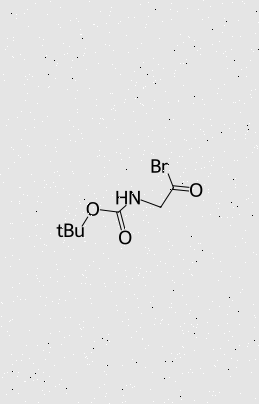 CC(C)(C)OC(=O)NCC(=O)Br